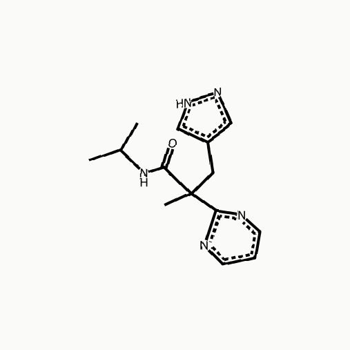 CC(C)NC(=O)C(C)(Cc1cn[nH]c1)c1ncccn1